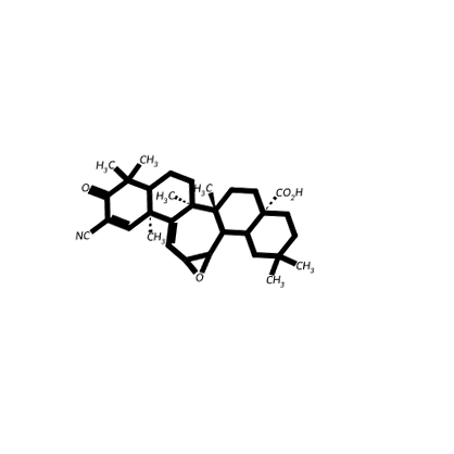 CC1(C)CC[C@]2(C(=O)O)CC[C@]3(C)C(C4OC4C=C4[C@@]5(C)C=C(C#N)C(=O)C(C)(C)C5CC[C@]43C)C2C1